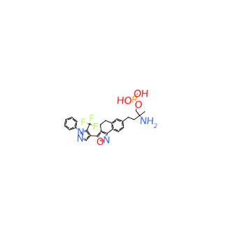 CC(N)(CCc1ccc2c(c1)CCc1c-2noc1-c1cnn(-c2ccccc2)c1C(F)(F)F)COP(O)O